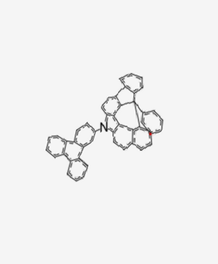 c1ccc(C23c4ccccc4-c4ccc5c(c42)c2c4c3cccc4ccc2n5-c2ccc3c4ccccc4c4ccccc4c3c2)cc1